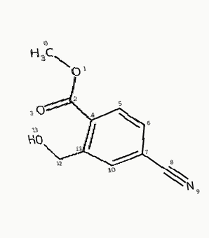 COC(=O)c1ccc(C#N)cc1[CH]O